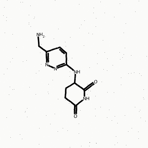 NCc1ccc(NC2CCC(=O)NC2=O)nn1